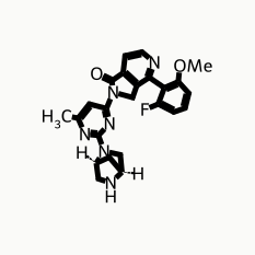 COc1cccc(F)c1-c1nccc2c1CN(c1cc(C)nc(N3C[C@@H]4C[C@H]3CN4)n1)C2=O